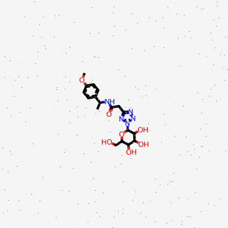 COc1ccc(C(C)NC(=O)Cc2nnn(C3OC(CO)C(O)C(O)C3O)n2)cc1